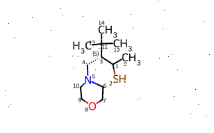 CC(S)[C@H](CN1CCOCC1)C(C)(C)C